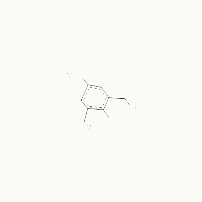 COc1cc(CCl)c(Br)c(OC)c1